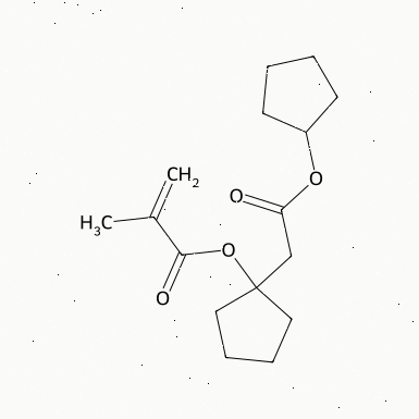 C=C(C)C(=O)OC1(CC(=O)OC2CCCC2)CCCC1